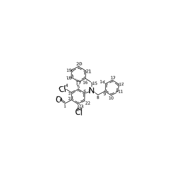 O=Cc1c(Cl)cc(N(Cc2ccccc2)Cc2ccccc2)cc1Cl